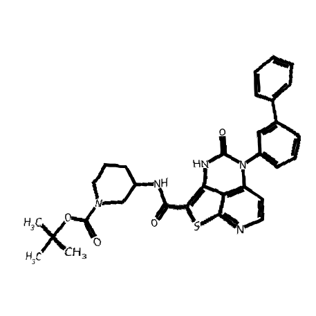 CC(C)(C)OC(=O)N1CCCC(NC(=O)c2sc3nccc4c3c2NC(=O)N4c2cccc(-c3ccccc3)c2)C1